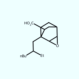 CCCCC(CC)CC12CCC(CC1C(=O)O)C1OC12